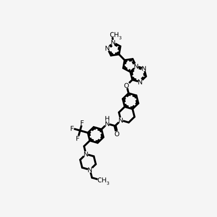 CCN1CCN(Cc2ccc(NC(=O)N3CCc4ccc(Oc5ncnn6cc(-c7cnn(C)c7)cc56)cc4C3)cc2C(F)(F)F)CC1